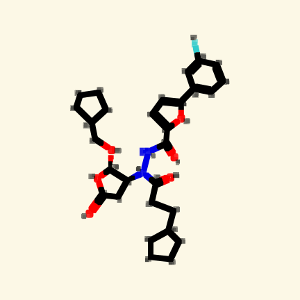 O=C1C[C@H](N(NC(=O)c2ccc(-c3cccc(F)c3)o2)C(=O)CCC2CCCC2)[C@@H](OCC2CCCC2)O1